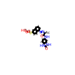 CC(=O)C(N=Nc1cccc2cc(SOOO)ccc12)C(=O)Nc1ccc2[nH]c(=O)[nH]c2c1